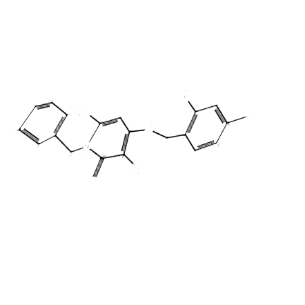 Cc1cc(OCc2ccc(F)cc2F)c(Br)c(=O)n1Cc1ccccc1